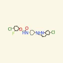 O=C(COc1ccc(Cl)c(F)c1)N[C@H]1CC[C@H](NCc2ccc3cc(Cl)ccc3n2)CC1